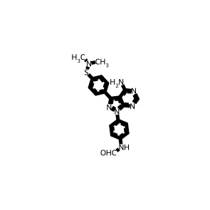 CN(C)Sc1ccc(-c2nn(-c3ccc(NC=O)cc3)c3ncnc(N)c23)cc1